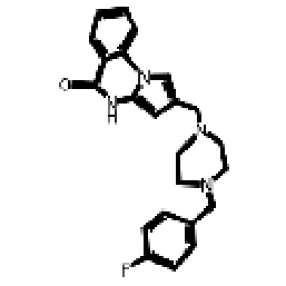 O=c1[nH]c2cc(CN3CCN(Cc4ccc(F)cc4)CC3)cn2c2ccccc12